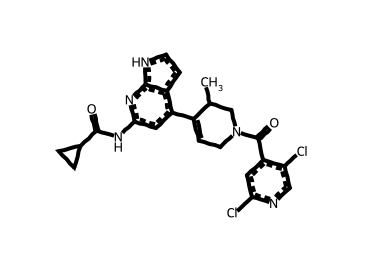 CC1CN(C(=O)c2cc(Cl)ncc2Cl)CC=C1c1cc(NC(=O)C2CC2)nc2[nH]ccc12